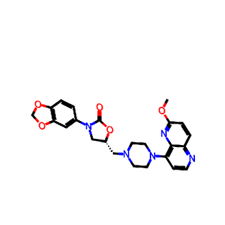 COc1ccc2nccc(N3CCN(C[C@@H]4CN(c5ccc6c(c5)OCO6)C(=O)O4)CC3)c2n1